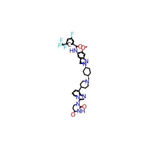 COc1cc2nn([C@H]3CC[C@H](CN4CCC(c5cccn6c(N7CCC(=O)NC7=O)cnc56)CC4)CC3)cc2cc1NC(=O)c1cc(F)cc(C(F)(F)F)c1